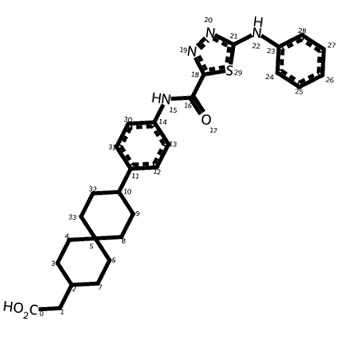 O=C(O)CC1CCC2(CC1)CCC(c1ccc(NC(=O)c3nnc(Nc4ccccc4)s3)cc1)CC2